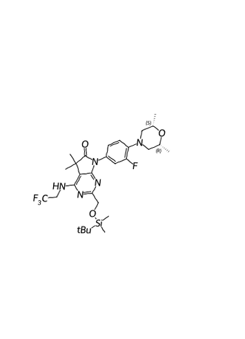 C[C@@H]1CN(c2ccc(N3C(=O)C(C)(C)c4c(NCC(F)(F)F)nc(CO[Si](C)(C)C(C)(C)C)nc43)cc2F)C[C@H](C)O1